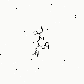 C=CC(=O)NCC(O)C[N+](C)(C)C.[Cl-]